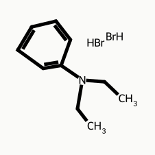 Br.Br.CCN(CC)c1ccccc1